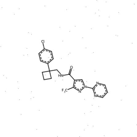 O=C(NCC1(c2ccc(Cl)cc2)CCC1)c1cn(-c2ncccn2)nc1C(F)(F)F